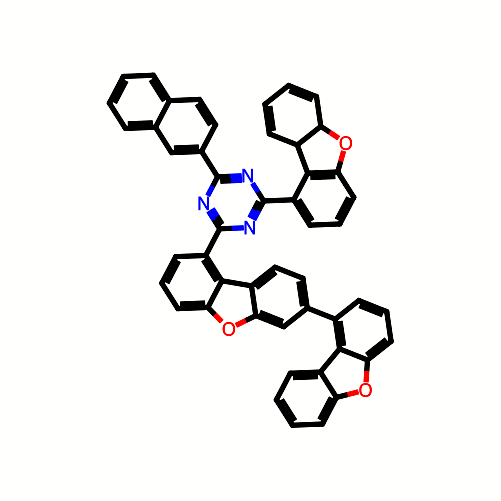 C1=CC2Oc3cccc(-c4nc(-c5ccc6ccccc6c5)nc(-c5cccc6oc7cc(-c8cccc9oc%10ccccc%10c89)ccc7c56)n4)c3C2C=C1